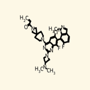 C=CC(=O)N1CC2(CCN(c3nc(N4CC(N(C)C)C4)nc4c(F)c(-c5c(F)ccc6cnn(C)c56)c(Cl)cc34)CC2)C1